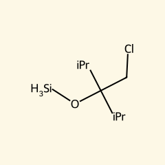 CC(C)C(CCl)(O[SiH3])C(C)C